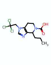 CCCC1c2ncn(CC(Cl)(Cl)Cl)c2CCN1C(=O)O